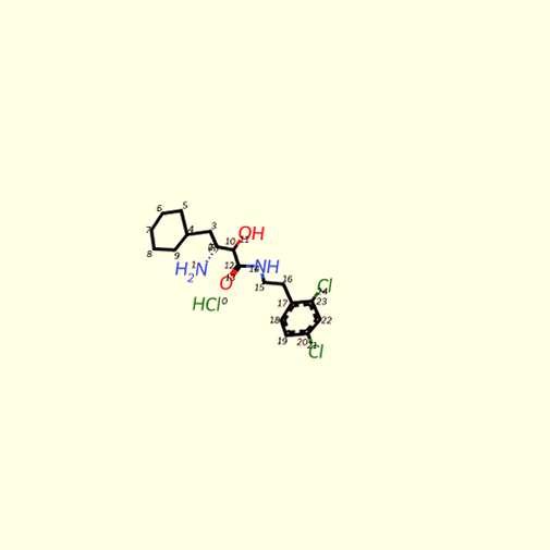 Cl.N[C@H](CC1CCCCC1)C(O)C(=O)NCCc1ccc(Cl)cc1Cl